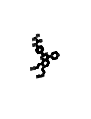 CCNC(=O)Nc1ccc(-c2nc3c(c(N4CCOCC4)n2)CCN(CCOC)C3CCO)cc1